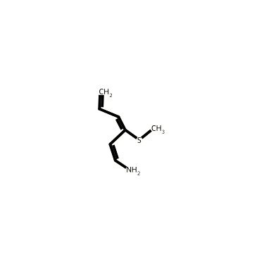 C=C/C=C(\C=C/N)SC